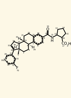 C[C@]12CC[C@@H]3c4ccc(C(=O)NC5CCCC5C(=O)O)cc4CC[C@H]3[C@@H]1CC=C2c1cncc(F)c1